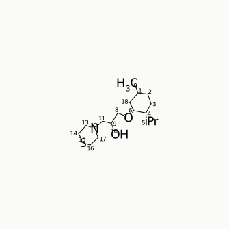 CC1CCC(C(C)C)C(OCC(O)CN2CCSCC2)C1